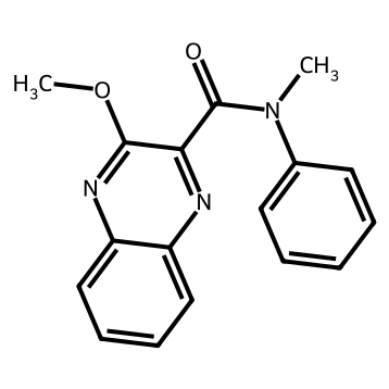 COc1nc2ccccc2nc1C(=O)N(C)c1ccccc1